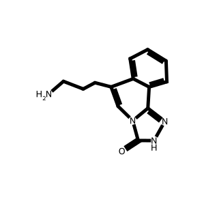 NCCCc1cn2c(=O)[nH]nc2c2ccccc12